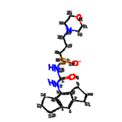 O=C(Nc1c2c(cc3c1CCC3)CCC2)N[S+]([O-])CCCN1CCOCC1